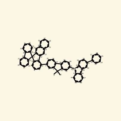 CC1(C)c2cc(-c3cccc4c3-c3cc5ccccc5cc3C43c4ccccc4-c4ccccc43)ccc2-c2ccc(-n3c4ccccc4c4cc(-c5ccccc5)ccc43)cc21